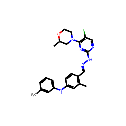 Cc1cc(Nc2cccc(C(F)(F)F)c2)ccc1/C=N/Nc1ncc(F)c(N2CCOC(C)C2)n1